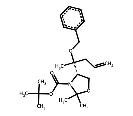 C=CCC(C)(OCc1ccccc1)[C@@H]1COC(C)(C)N1C(=O)OC(C)(C)C